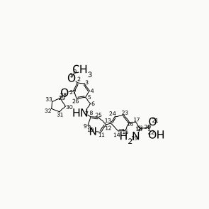 COc1ccc(CNc2cncc(-c3ccc(C[C@H](N)C(=O)O)cc3)c2)cc1OC1CCCC1